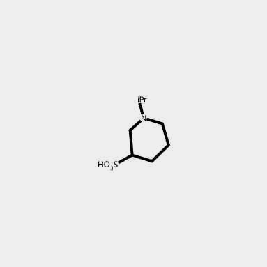 CC(C)N1CCCC(S(=O)(=O)O)C1